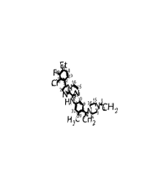 C=CN1CCN(C(=C)c2ccc(NC3=NC=CN4C3=NCC4c3ccc(CC)c(F)c3Cl)cc2C)CC1